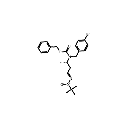 C[C@@H](C/C=N/[S@+]([O-])C(C)(C)C)N(Cc1ccc(Br)cc1)C(=O)OCc1ccccc1